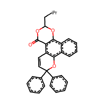 CC(C)CC1OC(=O)c2c3c(c4ccccc4c2O1)OC(c1ccccc1)(c1ccccc1)C=C3